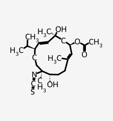 CC(=O)O[C@H]1/C=C(\C)CC[C@H](O)[C@@](C)(N=C=S)CC[C@@H](C(C)C)/C=C/[C@@](C)(O)C1